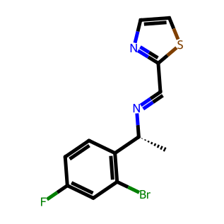 C[C@@H](/N=C/c1nccs1)c1ccc(F)cc1Br